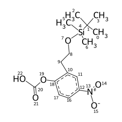 CC(C)(C)[Si](C)(C)OCCc1cc([N+](=O)[O-])ccc1OC(=O)O